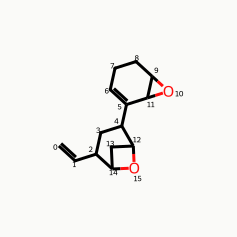 C=CC1CC(C2=CCCC3OC23)C2CC1O2